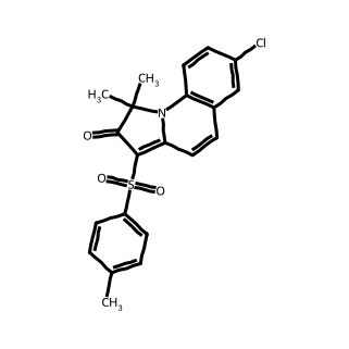 Cc1ccc(S(=O)(=O)C2=C3C=Cc4cc(Cl)ccc4N3C(C)(C)C2=O)cc1